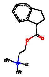 CCC[N+](CC)(CCC)CCOC(=O)C1CCc2ccccc21